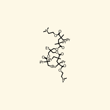 CCC(COC(=O)C(C)(CC(C)C)CC(C)(C(=O)OCCN(C)C)C(C)C)(COC(=O)C(C)(CC(C)(C)C)C(C)C)COC(=O)C(C)(CC(C)(CC(C)C)C(=O)OCCN(C)C)C(C)C